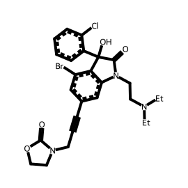 CCN(CC)CCN1C(=O)C(O)(c2ccccc2Cl)c2c(Br)cc(C#CCN3CCOC3=O)cc21